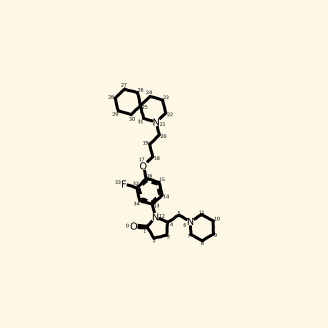 O=C1CCC(CN2CCCCC2)N1c1ccc(OCCCN2CCCC3(CCCCC3)C2)c(F)c1